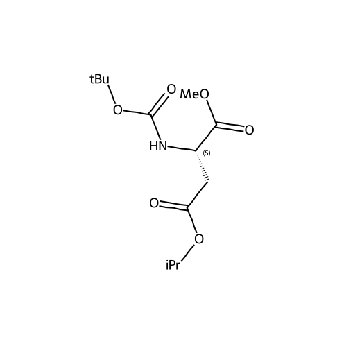 COC(=O)[C@H](CC(=O)OC(C)C)NC(=O)OC(C)(C)C